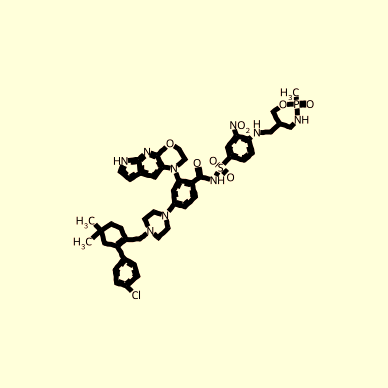 CC1(C)CCC(CN2CCN(c3ccc(C(=O)NS(=O)(=O)c4ccc(NCC5CNP(C)(=O)OC5)c([N+](=O)[O-])c4)c(N4CCOc5nc6[nH]ccc6cc54)c3)CC2)=C(c2ccc(Cl)cc2)C1